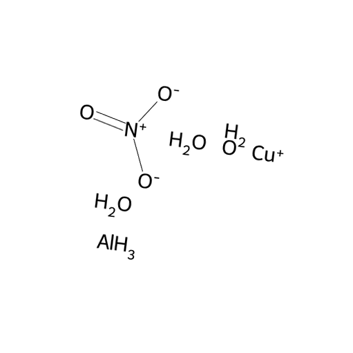 O.O.O.O=[N+]([O-])[O-].[AlH3].[Cu+]